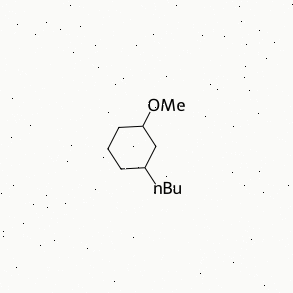 [CH2]CCCC1CCCC(OC)C1